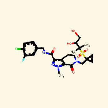 Cn1nc(C(=O)NCc2ccc(Cl)c(F)c2)c2c1C(=O)N(CC1(S(=O)(=O)C(C)(C)C(O)CO)CC1)CC2